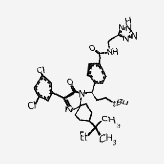 CCC(C)(C)C1CCC2(CC1)N=C(c1cc(Cl)cc(Cl)c1)C(=O)N2[C@H](CCC(C)(C)C)c1ccc(C(=O)NCc2nn[nH]n2)cc1